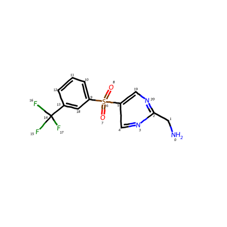 NCc1ncc(S(=O)(=O)c2cccc(C(F)(F)F)c2)cn1